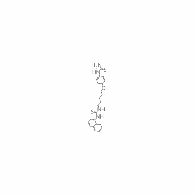 NC(=S)Nc1ccc(OCCCCCNC(=S)Nc2cccc3ccccc23)cc1